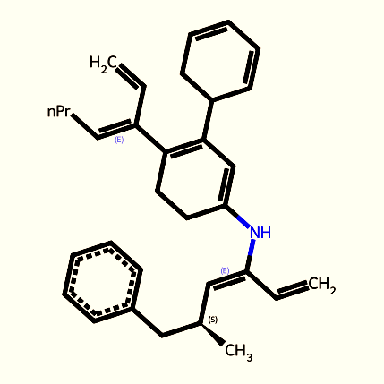 C=C/C(=C\[C@@H](C)Cc1ccccc1)NC1=CC(C2C=CC=CC2)=C(/C(C=C)=C/CCC)CC1